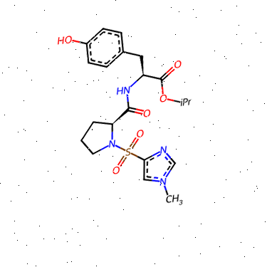 CC(C)OC(=O)[C@H](Cc1ccc(O)cc1)NC(=O)[C@@H]1CCCN1S(=O)(=O)c1cn(C)cn1